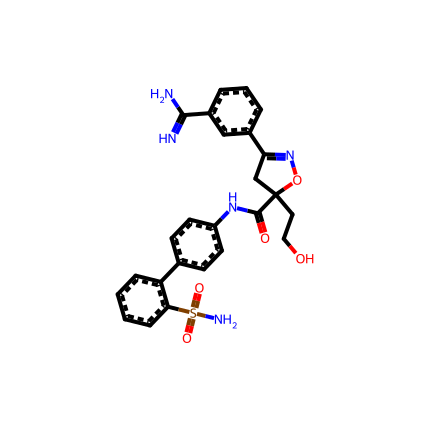 N=C(N)c1cccc(C2=NOC(CCO)(C(=O)Nc3ccc(-c4ccccc4S(N)(=O)=O)cc3)C2)c1